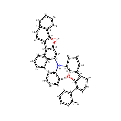 Cc1ccccc1-c1cccc2c1oc1c(N(c3ccccc3)c3cc4oc5c6ccccc6ccc5c4c4ccccc34)cccc12